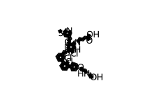 CSc1cncc(COc2nc(OCc3cccc(-c4cccc(-c5ccc(OCCNCCO)cc5)c4Cl)c3Cl)c(Cl)cc2CNCCCC(=O)O)c1